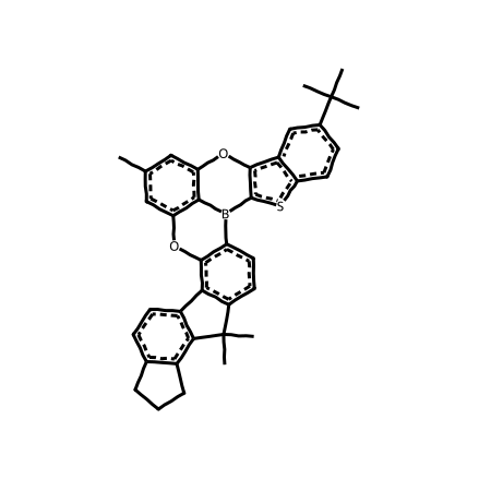 Cc1cc2c3c(c1)Oc1c(sc4ccc(C(C)(C)C)cc14)B3c1ccc3c(c1O2)-c1ccc2c(c1C3(C)C)CCC2